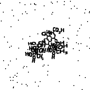 CN(C(O)(O)O)C(O)(O)O.CN(C(O)(O)O)C(O)(O)O.O=C(O)c1cc(=O)c2cc3c(c(Cl)c2[nH]1)CN(C(=O)O)CC3=O